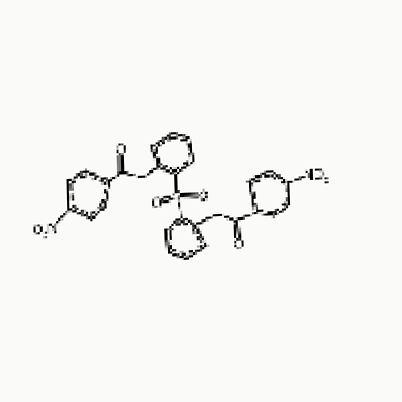 O=C(Cc1ccccc1S(=O)(=O)c1ccccc1CC(=O)c1ccc([N+](=O)[O-])cc1)c1ccc([N+](=O)[O-])cc1